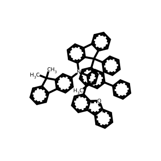 Cc1cc(-c2ccccc2)ccc1N(c1ccc2c(c1)C(C)(C)c1ccccc1-2)c1cccc2c1C(c1ccccc1)(c1ccc(-c3cccc4c3oc3ccccc34)cc1)c1ccccc1-2